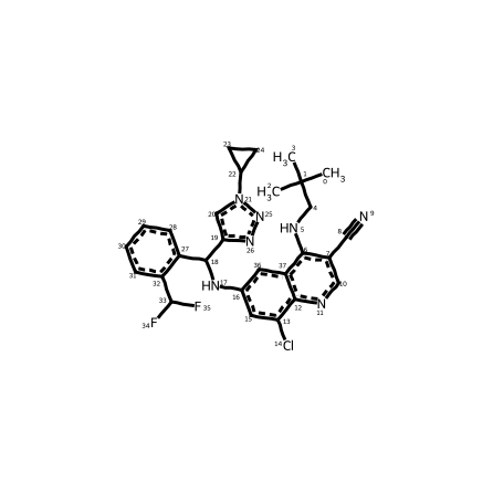 CC(C)(C)CNc1c(C#N)cnc2c(Cl)cc(NC(c3cn(C4CC4)nn3)c3ccccc3C(F)F)cc12